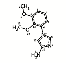 COc1[c]ccc(-n2cnc(N)c2)c1OC